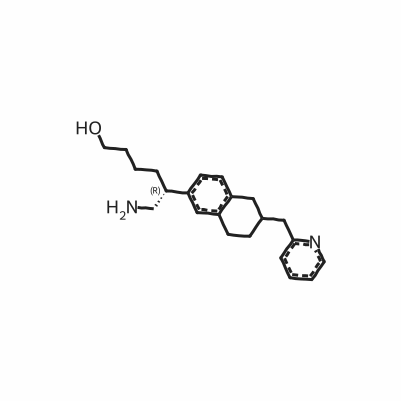 NC[C@H](CCCCO)c1ccc2c(c1)CCC(Cc1ccccn1)C2